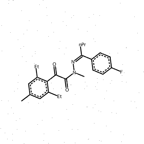 CCCC(=NN(C)C(=O)C(=O)c1c(CC)cc(C)cc1CC)c1ccc(F)cc1